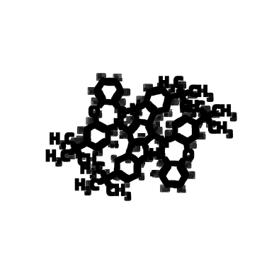 CC(C)(C)C1=CC=C2C(C1)c1c3c(c4c5cc(C(C)(C)C)ccc5n5c4c1N1B5c4ccccc4Oc4cc(C(C)(C)C)ccc41)N1B(c4ccccc4Oc4cc(C(C)(C)C)ccc41)N23